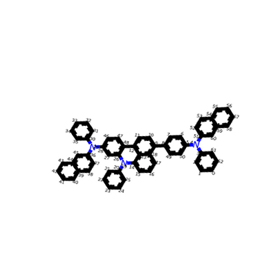 c1ccc(N(c2ccc(-c3ccc4c5c(cccc35)N(c3ccccc3)c3cc(N(c5ccccc5)c5ccc6ccccc6c5)ccc3-4)cc2)c2ccc3ccccc3c2)cc1